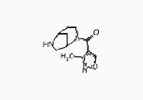 Cc1nocc1C(=O)N1CCC2CC1CN2